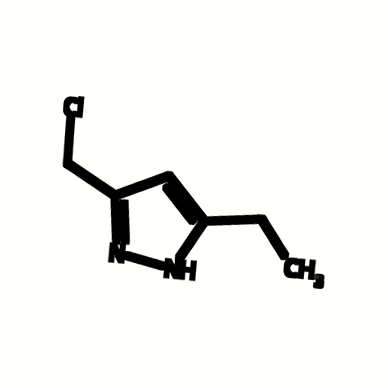 CCc1cc(CCl)n[nH]1